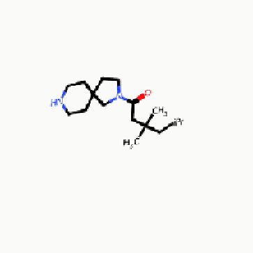 CC(C)CC(C)(C)CC(=O)N1CCC2(CCNCC2)C1